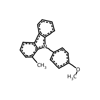 COc1ccc(-n2c3ccccc3c3cccc(C)c32)cc1